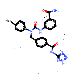 CC(C)(C)c1ccc(N(Cc2ccc(C(=O)Nc3nn[nH]n3)cc2)C(=O)Nc2cccc(C(N)=O)c2)cc1